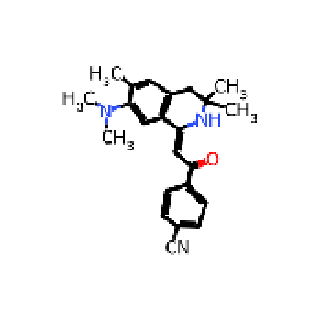 Cc1cc2c(cc1N(C)C)C(=CC(=O)c1ccc(C#N)cc1)NC(C)(C)C2